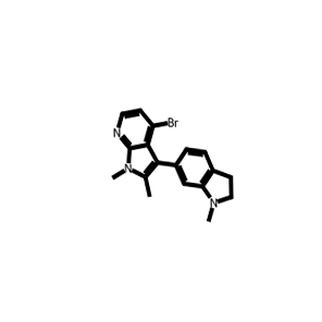 Cc1c(-c2ccc3c(c2)N(C)CC3)c2c(Br)ccnc2n1C